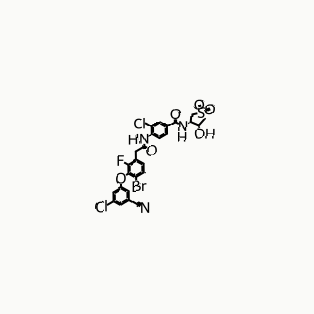 N#Cc1cc(Cl)cc(Oc2c(Br)ccc(CC(=O)Nc3ccc(C(=O)N[C@@H]4CS(=O)(=O)C[C@H]4O)cc3Cl)c2F)c1